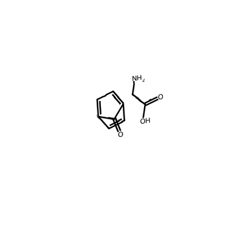 NCC(=O)O.O=C1C2=CC=C1C=C2